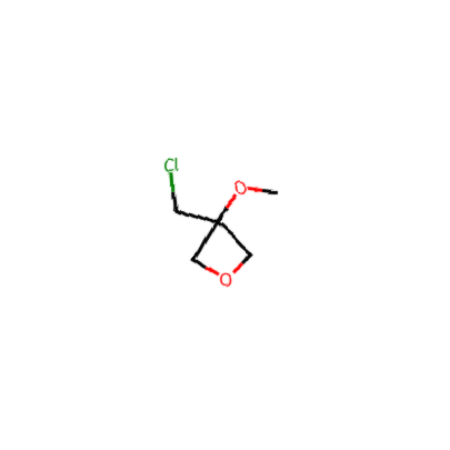 COC1(CCl)COC1